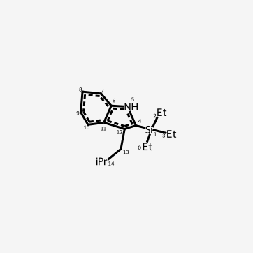 CC[Si](CC)(CC)c1[nH]c2ccccc2c1CC(C)C